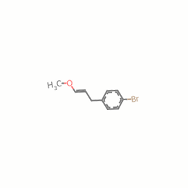 CO/C=C/Cc1ccc(Br)cc1